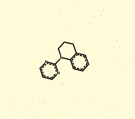 [c]1ccc2c(c1)CCCN2c1ncccn1